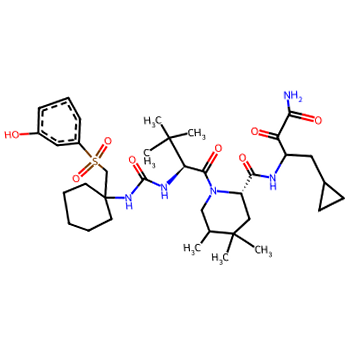 CC1CN(C(=O)[C@@H](NC(=O)NC2(CS(=O)(=O)c3cccc(O)c3)CCCCC2)C(C)(C)C)[C@H](C(=O)NC(CC2CC2)C(=O)C(N)=O)CC1(C)C